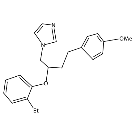 CCc1ccccc1OC(CCc1ccc(OC)cc1)Cn1ccnc1